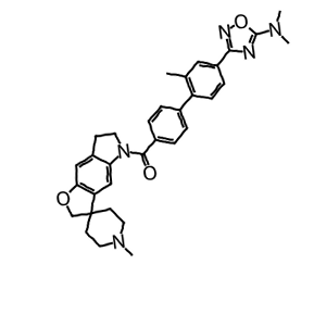 Cc1cc(-c2noc(N(C)C)n2)ccc1-c1ccc(C(=O)N2CCc3cc4c(cc32)C2(CCN(C)CC2)CO4)cc1